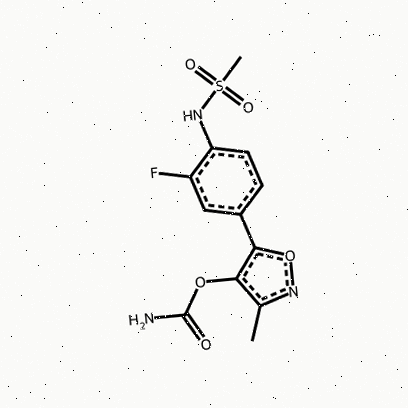 Cc1noc(-c2ccc(NS(C)(=O)=O)c(F)c2)c1OC(N)=O